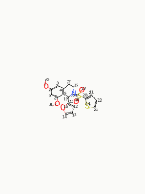 COc1cc2c(c(OC)c1)C(c1ccco1)N(S(=O)(=O)c1cccs1)CC2